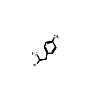 Cc1ccc(CC(C)C#N)cc1